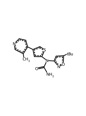 Cc1cnccc1-c1csc(N(C(N)=O)c2cc(C(C)(C)C)on2)c1